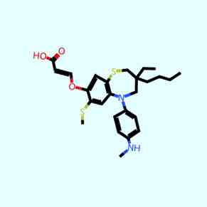 CCCCC1(CC)CSc2cc(O/C=C/C(=O)O)c(SC)cc2N(c2ccc(NC)cc2)C1